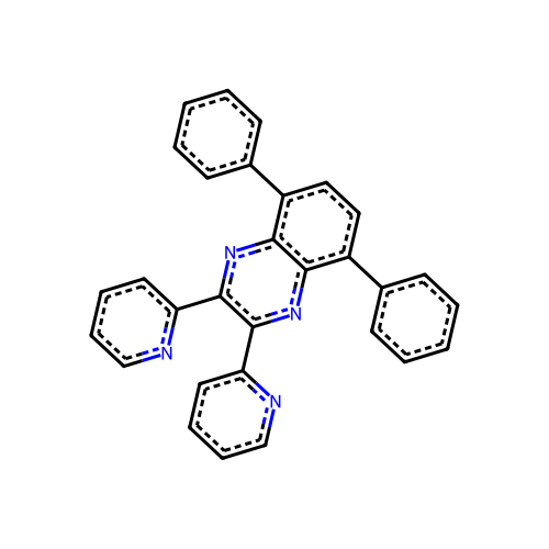 c1ccc(-c2ccc(-c3ccccc3)c3nc(-c4ccccn4)c(-c4ccccn4)nc23)cc1